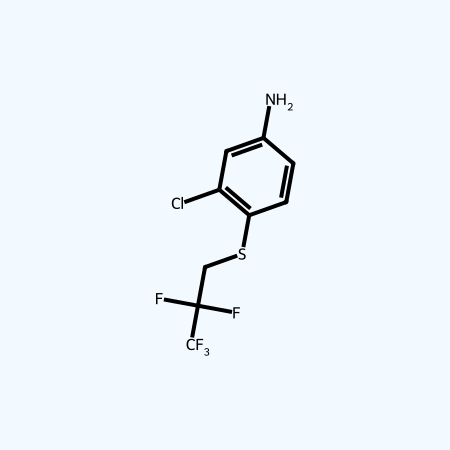 Nc1ccc(SCC(F)(F)C(F)(F)F)c(Cl)c1